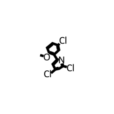 COc1ccc(Cl)cc1-c1cc(Cl)cc(Cl)n1